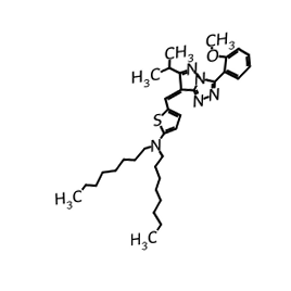 CCCCCCCCN(CCCCCCCC)c1ccc(/C=c2/c(C(C)C)nn3c(-c4ccccc4OC)nnc23)s1